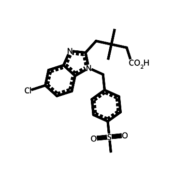 CC(C)(CC(=O)O)Cc1nc2cc(Cl)ccc2n1Cc1ccc(S(C)(=O)=O)cc1